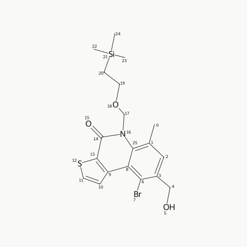 Cc1cc(CO)c(Br)c2c3ccsc3c(=O)n(COCC[Si](C)(C)C)c12